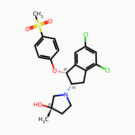 C[C@]1(O)CCN([C@H]2Cc3c(Cl)cc(Cl)cc3[C@H]2Oc2ccc(S(C)(=O)=O)cc2)C1